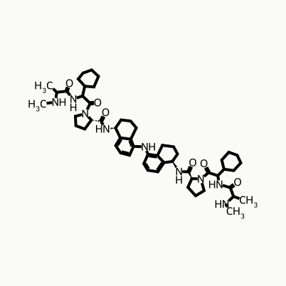 CNC(C)C(=O)NC(C(=O)N1CCC[C@H]1C(=O)N[C@@H]1CCCc2c(Nc3cccc4c3CCC[C@H]4NC(=O)[C@@H]3CCCN3C(=O)C(NC(=O)C(C)NC)C3CCCCC3)cccc21)C1CCCCC1